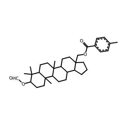 Cc1ccc(C(=O)OCC23CCCC2C2CCC4C(C)(CCC5C(C)(C)C(OC=O)CCC54C)C2CC3)cc1